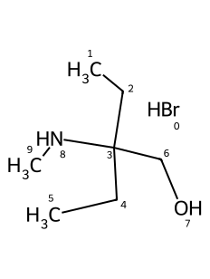 Br.CCC(CC)(CO)NC